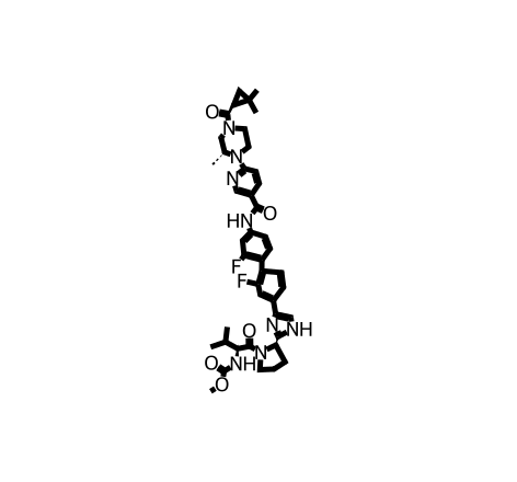 COC(=O)N[C@H](C(=O)N1CCC[C@H]1c1nc(-c2ccc(-c3ccc(NC(=O)c4ccc(N5CCN(C(=O)[C@H]6CC6(C)C)C[C@H]5C)nc4)cc3F)c(F)c2)c[nH]1)C(C)C